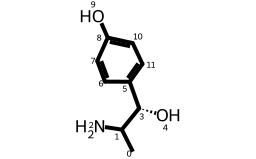 CC(N)[C@@H](O)c1ccc(O)cc1